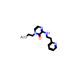 CC(=O)OCCn1ccnc(NCCc2ccccn2)c1=O